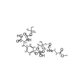 COC(=O)CCNC(=O)[C@@H]1O[P@](O)(Oc2ccc(CC(NC(=O)OC(C)(C)C)C(=O)O)cc2)OCC1(C)C